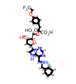 O=C(O)C(Cc1ccc(OCC(F)(F)F)cc1)(OC[C@H]1O[C@@H](C2=CNC3C(CNCc4ccccc4F)=NC=NN23)C[C@@H]1O)C(=O)O